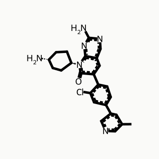 Cc1cncc(-c2ccc(-c3cc4cnc(N)nc4n([C@H]4CC[C@@H](N)CC4)c3=O)c(Cl)c2)c1